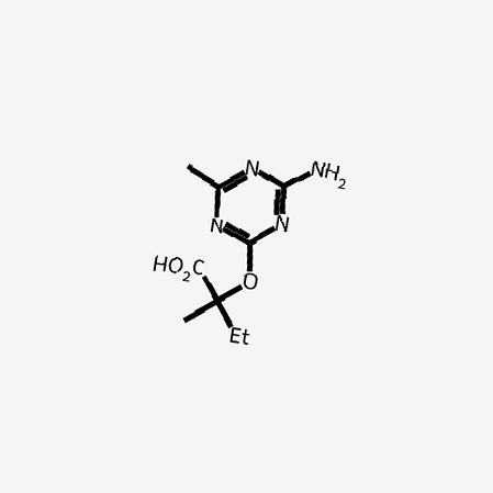 CCC(C)(Oc1nc(C)nc(N)n1)C(=O)O